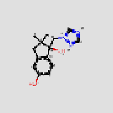 CC1(C)Cc2cc(O)ccc2C1(O)Cn1cncn1